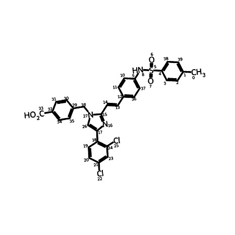 Cc1ccc(S(=O)(=O)Nc2ccc(/C=C/c3nc(-c4ccc(Cl)cc4Cl)cn3Cc3ccc(C(=O)O)cc3)cc2)cc1